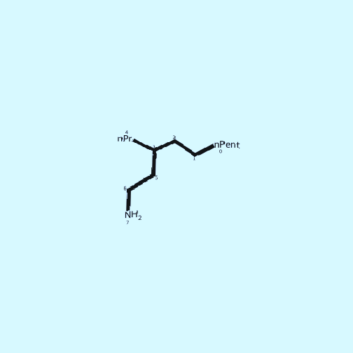 CCCCCCCC(CCC)CCN